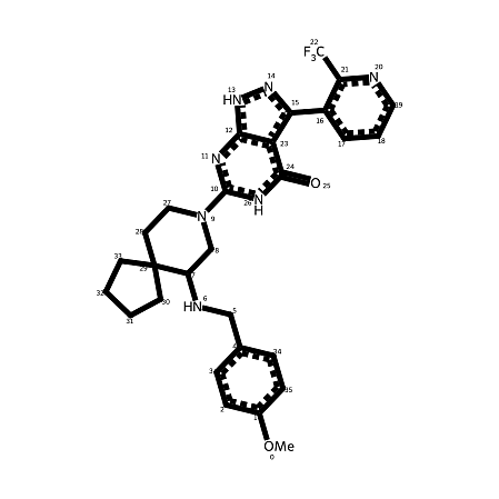 COc1ccc(CNC2CN(c3nc4[nH]nc(-c5cccnc5C(F)(F)F)c4c(=O)[nH]3)CCC23CCCC3)cc1